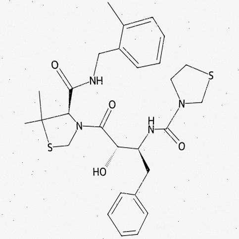 Cc1ccccc1CNC(=O)[C@H]1N(C(=O)[C@@H](O)[C@H](Cc2ccccc2)NC(=O)N2CCSC2)CSC1(C)C